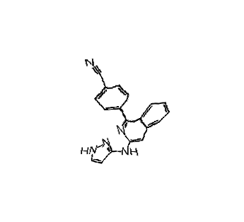 N#Cc1ccc(-c2nc(Nc3cc[nH]n3)cc3ccccc23)cc1